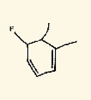 CC1=CC=CC(F)C1C